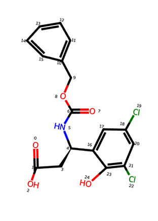 O=C(O)C[C@@H](NC(=O)OCc1ccccc1)c1cc(Cl)cc(Cl)c1O